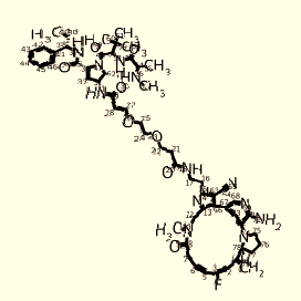 C=C1/C=C(F)\C=C/CC(=O)N(C)Cc2nn(CCNC(=O)CCOCCOCCC(=O)N[C@@H]3C[C@H](C(=O)N[C@@H](CC)c4ccccc4)N(C(=O)[C@H](NC(=O)[C@@H](C)NC)C(C)(C)C)C3)c(C#N)c2-c2cnc(N)c(c2)N2CCC[C@H]12